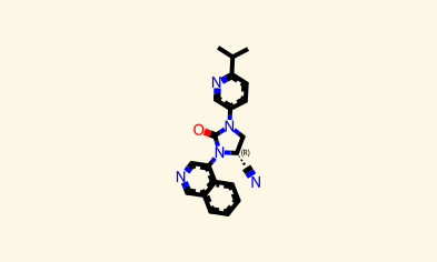 CC(C)c1ccc(N2C[C@H](C#N)N(c3cncc4ccccc34)C2=O)cn1